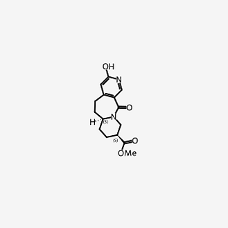 COC(=O)[C@H]1CC[C@H]2CCc3cc(O)ncc3C(=O)N2C1